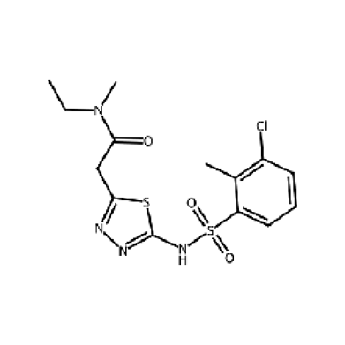 CCN(C)C(=O)Cc1nnc(NS(=O)(=O)c2cccc(Cl)c2C)s1